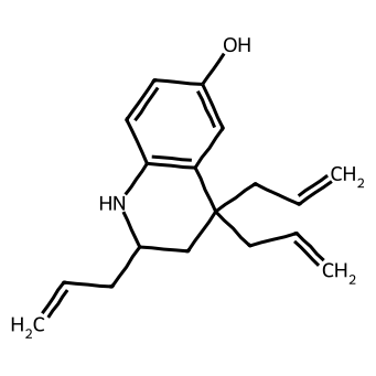 C=CCC1CC(CC=C)(CC=C)c2cc(O)ccc2N1